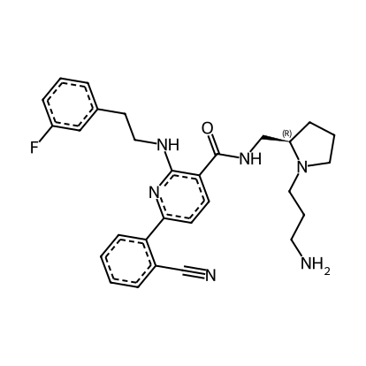 N#Cc1ccccc1-c1ccc(C(=O)NC[C@H]2CCCN2CCCN)c(NCCc2cccc(F)c2)n1